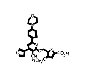 N#Cc1c(-c2ccoc2)cc(-c2ccc(N3CCOCC3)cc2)nc1OCC1SC(C(=O)O)=CC1=C=NO